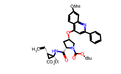 C=C[C@H]1C[C@@]1(NC(=O)[C@@H]1C[C@@H](Oc2cc(-c3ccccc3)nc3cc(OC)ccc23)CN1C(=O)OC(C)(C)C)C(=O)OCC